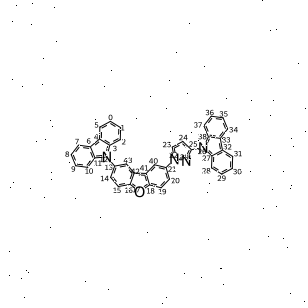 c1ccc2c(c1)c1ccccc1n2-c1ccc2oc3ccc(-n4ccc(-n5c6ccccc6c6ccccc65)n4)cc3c2c1